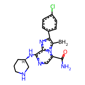 Bc1c(-c2ccc(Cl)cc2)nc2c(N[C@@H]3CCCNC3)ncc(C(N)=O)n12